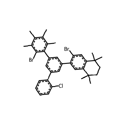 Cc1c(C)c(C)c(-c2cc(-c3ccccc3Cl)cc(-c3cc4c(cc3Br)C(C)(C)CCC4(C)C)c2)c(Br)c1C